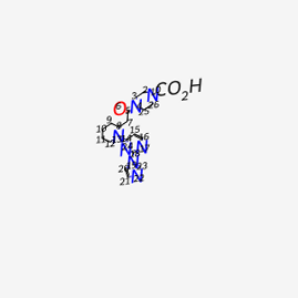 O=C(O)N1CCN(C(=O)CC2CCCCN2c2ccnc(-n3ccnc3)n2)CC1